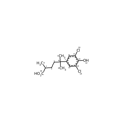 CC(CCC(C)(C)c1cc(Cl)c(O)c(Cl)c1)C(=O)O